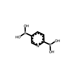 OB(O)c1ccc(B(O)O)nc1